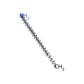 CCCCCCCCCCCCCCCCCCCCCCCCCCCCCCCCCCCCCCC=CN